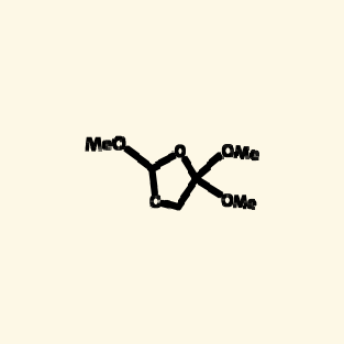 COC1OCC(OC)(OC)O1